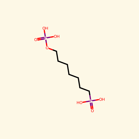 O=P(O)(O)CCCCCCCOP(=O)(O)O